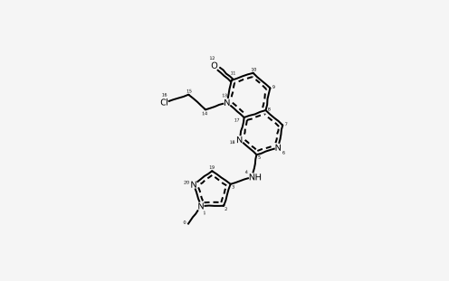 Cn1cc(Nc2ncc3ccc(=O)n(CCCl)c3n2)cn1